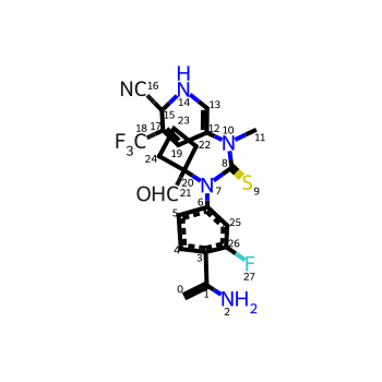 C=C(N)c1ccc(N(C(=S)N(C)C2=CNC(C#N)C(C(F)(F)F)=C2)C2(C=O)CCC2)cc1F